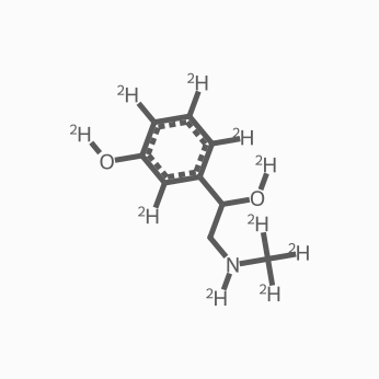 [2H]Oc1c([2H])c([2H])c([2H])c(C(CN([2H])C([2H])([2H])[2H])O[2H])c1[2H]